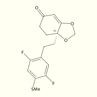 CSc1cc(F)c(CC[C@]23CCC(=O)C=C2OCO3)cc1F